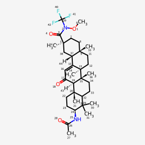 CON(C(=O)[C@@]1(C)CC[C@]2(C)CC[C@]3(C)C(=CC(=O)[C@@H]4[C@@]5(C)CC[C@H](NC(C)=O)C(C)(C)C5CC[C@]43C)[C@@H]2C1)C(F)(F)F